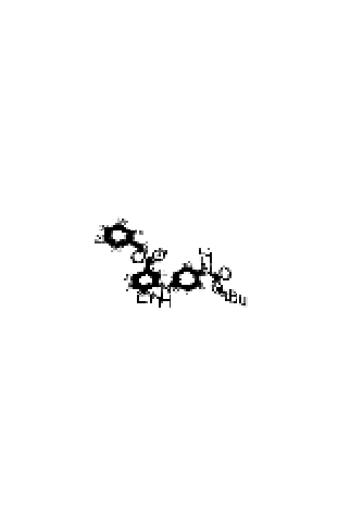 CC(C)(C)OC(=O)NC1CCC(Nc2cc(C(=O)OCc3ccccc3)ccc2C#N)CC1